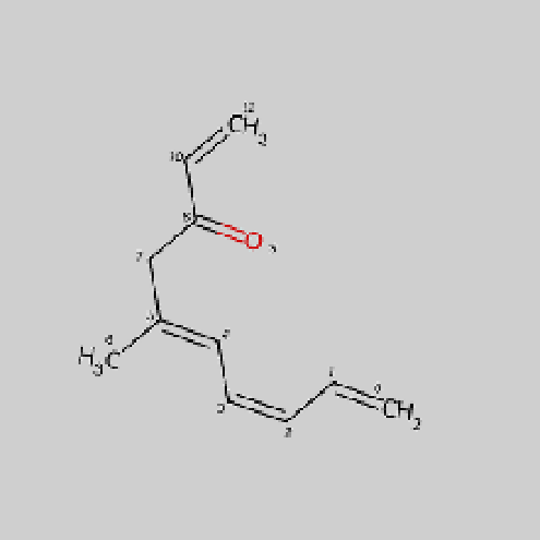 C=C/C=C\C=C(/C)CC(=O)C=C